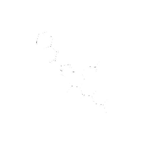 CC(=O)OC(CC(C(C)C)N(C)C(=O)CC(C)C)c1nc(C(=O)NC2CCCCC2)cs1